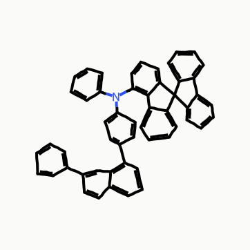 c1ccc(-c2ccc3cccc(-c4ccc(N(c5ccccc5)c5cccc6c5-c5ccccc5C65c6ccccc6-c6ccccc65)cc4)c3c2)cc1